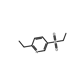 CCc1ccc(S(=O)(=O)CC)cn1